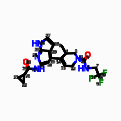 CC1CN(C(=O)NCC(F)(F)F)CC=C1c1cc(NC(=O)C2CC2)nc2[nH]ccc12